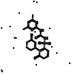 Cc1cc(C)nc(NC(=O)NS(=O)(=O)C2=C(C3=CC(=O)CCC3)C(=S)CC=C2)n1